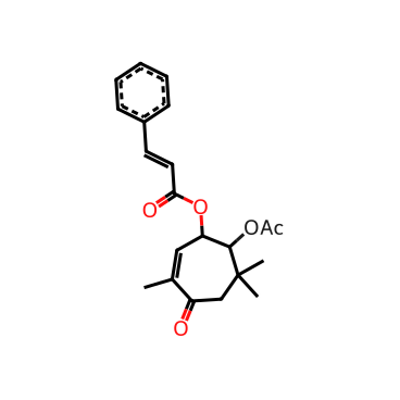 CC(=O)OC1C(OC(=O)/C=C/c2ccccc2)C=C(C)C(=O)CC1(C)C